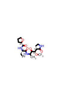 CC(C)C[C@H](NC(=O)[C@@H]1CCCO1)C(=O)NC(C)C(=O)[C@@H](OC(F)(F)F)[C@@H]1CCNC1=O